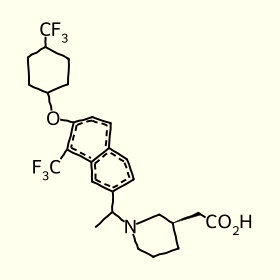 CC(c1ccc2ccc(OC3CCC(C(F)(F)F)CC3)c(C(F)(F)F)c2c1)N1CCC[C@H](CC(=O)O)C1